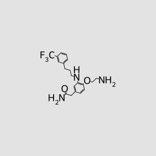 NCCOc1ccc(CC(N)=O)cc1NCCCc1cccc(C(F)(F)F)c1